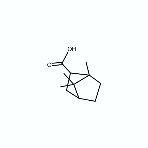 CC12CCC(C[C]1C(=O)O)C2(C)C